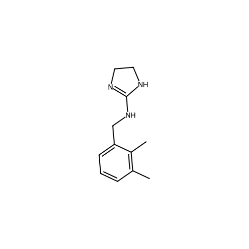 Cc1cccc(CNC2=NCCN2)c1C